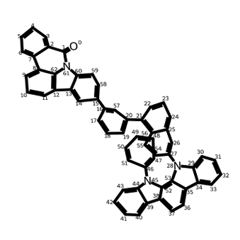 O=c1c2ccccc2c2cccc3c4cc(-c5cccc(-c6cccc7cc(-n8c9ccccc9c9ccc%10c%11ccccc%11n(-c%11ccccc%11)c%10c98)ccc67)c5)ccc4n1c23